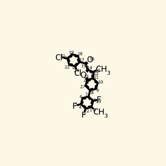 Cc1c(F)c(F)cc(-c2ccc3c(C)c(C(=O)c4ccc(Cl)cc4Cl)oc3c2)c1F